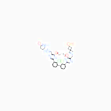 COc1nc(-c2cccc(-c3cccc(-c4cnc(CN5CC6(CC(O)C6)C5)c(OC)n4)c3Cl)c2Cl)cnc1CNC[C@@H]1CCC(=O)N1